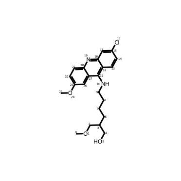 COCC(CO)CCCCNc1c2ccc(Cl)cc2nc2ccc(OC)cc12